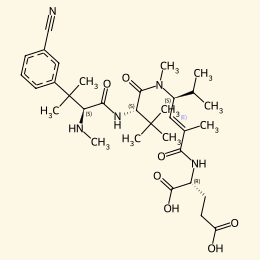 CN[C@H](C(=O)N[C@H](C(=O)N(C)[C@H](/C=C(\C)C(=O)N[C@H](CCC(=O)O)C(=O)O)C(C)C)C(C)(C)C)C(C)(C)c1cccc(C#N)c1